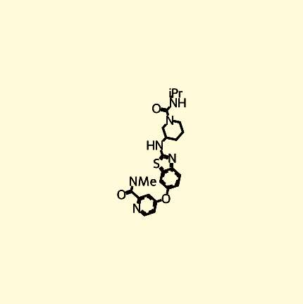 CNC(=O)c1cc(Oc2ccc3nc(NC4CCCN(C(=O)NC(C)C)C4)sc3c2)ccn1